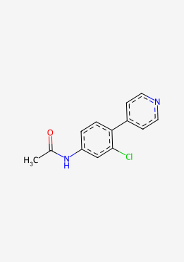 CC(=O)Nc1ccc(-c2ccncc2)c(Cl)c1